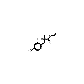 CCOC(=O)[C@@](C)(O)Cc1ccc(O)cc1